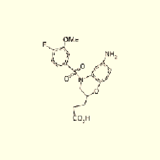 COc1cc(S(=O)(=O)N2CC(CCC(=O)O)Oc3ccc(N)cc32)ccc1F